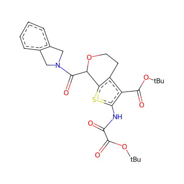 CC(C)(C)OC(=O)C(=O)Nc1sc2c(c1C(=O)OC(C)(C)C)CCOC2C(=O)N1Cc2ccccc2C1